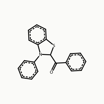 O=C(c1ccccc1)C1Sc2ccccc2N1c1ccccc1